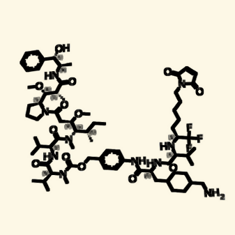 CC[C@H](C)[C@@H]([C@@H](CC(=O)N1CCC[C@H]1[C@H](OC)[C@@H](C)C(=O)N[C@H](C)[C@@H](O)c1ccccc1)OC)N(C)C(=O)[C@@H](NC(=O)[C@H](C(C)C)N(C)C(=O)OCc1ccc(NC(=O)[C@H](CC2CCC(CN)CC2)NC(=O)[C@@H](N[C@@H](CCCCCN2C(=O)C=CC2=O)C(F)(F)F)C(C)C)cc1)C(C)C